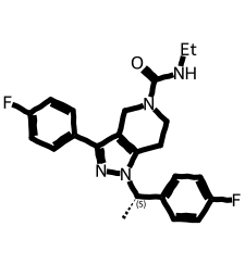 CCNC(=O)N1CCc2c(c(-c3ccc(F)cc3)nn2[C@@H](C)c2ccc(F)cc2)C1